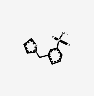 NS(=O)(=O)c1cccc(Cn2cccn2)c1